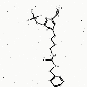 C#Cc1cc(CCCCNC(=O)OCc2ccccc2)cc(OC(F)(F)F)c1